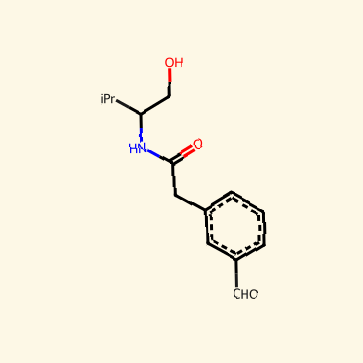 CC(C)C(CO)NC(=O)Cc1cccc(C=O)c1